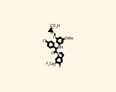 COc1cc(NC(C(=O)n2ccc3cc(F)c(OC(F)(F)F)cc32)c2ccc(Cl)cc2)cc(OC[C@@H]2C[C@H]2C(=O)O)c1